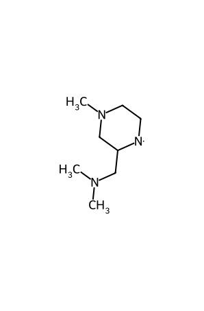 CN(C)CC1CN(C)CC[N]1